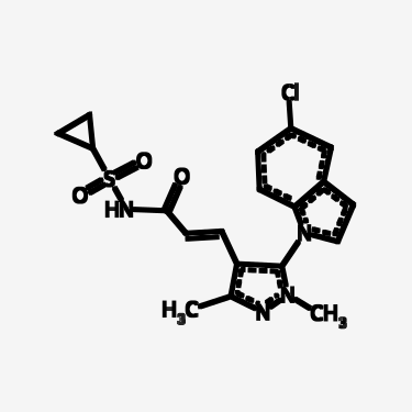 Cc1nn(C)c(-n2ccc3cc(Cl)ccc32)c1C=CC(=O)NS(=O)(=O)C1CC1